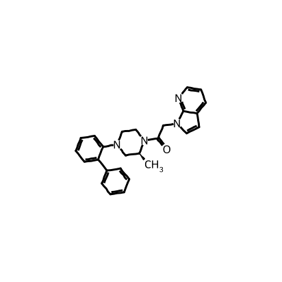 C[C@H]1CN(c2ccccc2-c2ccccc2)CCN1C(=O)Cn1ccc2cccnc21